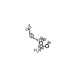 CCOC(=O)CCN1CCN(CCCOc2cc3nc(N)nc(-c4cccc(Br)c4)c3cc2[N+](=O)[O-])CC1